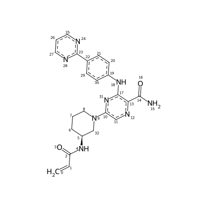 C=CC(=O)N[C@H]1CCCN(c2cnc(C(N)=O)c(Nc3ccc(-c4ncccn4)cc3)n2)C1